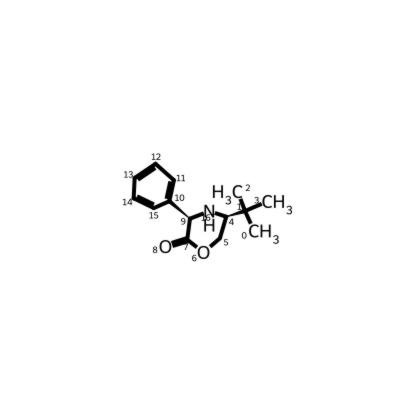 CC(C)(C)[C@H]1COC(=O)[C@@H](c2ccccc2)N1